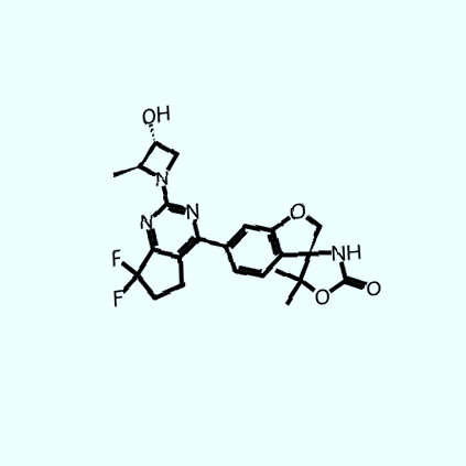 C[C@H]1[C@H](O)CN1c1nc(-c2ccc3c(c2)OC[C@]32NC(=O)OC2(C)C)c2c(n1)C(F)(F)CC2